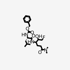 CC(C)C[C@H](NC(=O)OCc1ccccc1)C(=O)NC(CCC(=O)N(C)C)C(O)CF